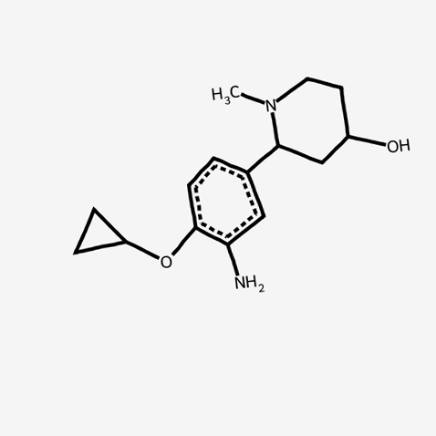 CN1CCC(O)CC1c1ccc(OC2CC2)c(N)c1